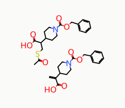 C=C(C(=O)O)C1CCN(C(=O)OCc2ccccc2)CC1.CC(=O)SCC(C(=O)O)C1CCN(C(=O)OCc2ccccc2)CC1